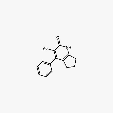 CC(=O)c1c(-c2ccccc2)c2c([nH]c1=O)CCC2